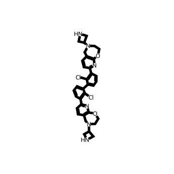 Clc1c(-c2ccc3c(n2)OCCN(C2CNC2)C3)cccc1-c1cccc(-c2ccc3c(n2)OCCN(C2CNC2)C3)c1Cl